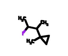 CC(I)C(C)C1(C)CC1